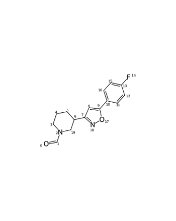 O=CN1CCCC(c2cc(-c3ccc(F)cc3)on2)C1